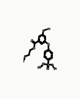 CC(C)Oc1cc(Oc2ccc(P(=O)(OC(C)C)OC(C)C)cc2)cc(C(=O)OCCSI)c1